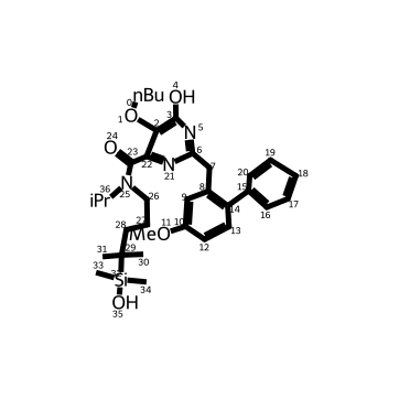 CCCCOc1c(O)nc(Cc2cc(OC)ccc2-c2ccccc2)nc1C(=O)N(CCCC(C)(C)[Si](C)(C)O)C(C)C